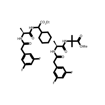 CCOC(=O)C(NC(=O)[C@H](C)NC(=O)Cc1cc(F)cc(F)c1)C1CCCCC1.COC(=O)C(C)(C)NC(=O)[C@H](C)NC(=O)Cc1cc(F)cc(F)c1